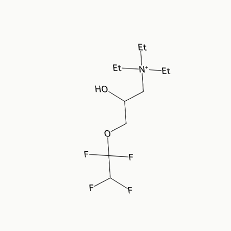 CC[N+](CC)(CC)CC(O)COC(F)(F)C(F)F